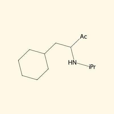 CC(=O)C(CC1CCCCC1)NC(C)C